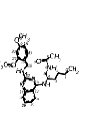 CCCCC(CNC(C)=O)Nc1nc(NCc2ccc(OC)cc2OC)nc2ccccc12